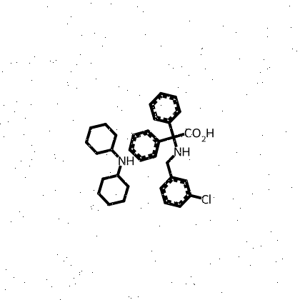 C1CCC(NC2CCCCC2)CC1.O=C(O)C(NCc1cccc(Cl)c1)(c1ccccc1)c1ccccc1